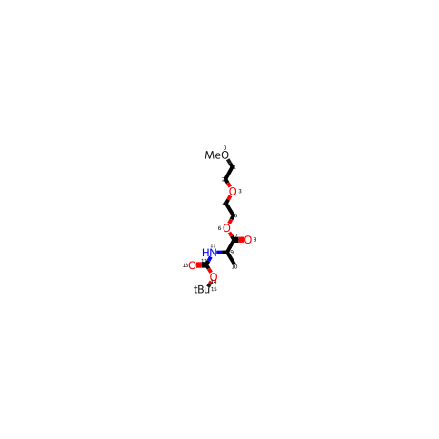 COCCOCCOC(=O)C(C)NC(=O)OC(C)(C)C